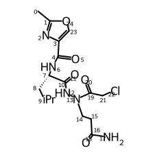 Cc1nc(C(=O)N[C@@H](CC(C)C)C(=O)NN(CCC(N)=O)C(=O)CCl)co1